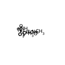 CC(C)(F)CN1CCC(COc2ccc(-c3ccccc3C(=O)N3CCCC3C(N)=O)c(F)c2)CC1